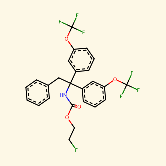 O=C(NC(Cc1ccccc1)(c1cccc(OC(F)(F)F)c1)c1cccc(OC(F)(F)F)c1)OCCF